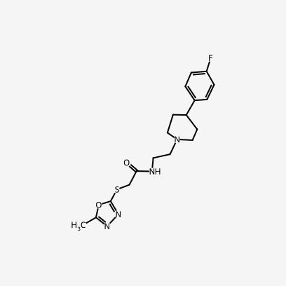 Cc1nnc(SCC(=O)NCCN2CCC(c3ccc(F)cc3)CC2)o1